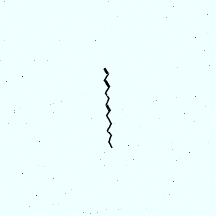 C=CC=CCCC=CCCCCCC